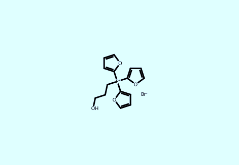 OCCC[P+](c1ccco1)(c1ccco1)c1ccco1.[Br-]